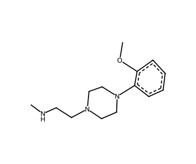 CNCCN1CCN(c2ccccc2OC)CC1